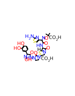 CC(C)(O/N=C(\C(=O)N[C@@H]1C(=O)N2C[C@@](C(=O)O)(N3CCN(NC(=O)/C(=N\O)c4ccc(O)c(O)c4)C3=O)S[C@H]12)c1csc(N)n1)C(=O)O